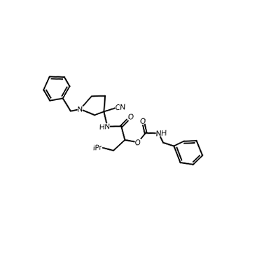 CC(C)CC(OC(=O)NCc1ccccc1)C(=O)NC1(C#N)CCN(Cc2ccccc2)C1